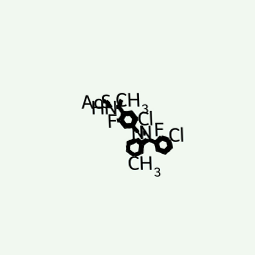 CC(=O)SNC(C)c1cc(Cl)c(-n2nc(-c3cccc(Cl)c3F)c3c2=CCC(C)C=3)cc1F